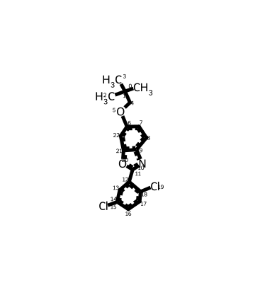 CC(C)(C)COc1ccc2nc(-c3cc(Cl)ccc3Cl)oc2c1